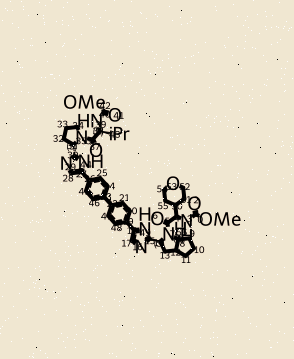 COC(=O)NC(C(=O)N1[C@@H]2CCCC2C[C@H]1c1ncc(-c2ccc(-c3ccc(-c4cnc([C@@H]5CCCN5C(=O)[C@@H](NC(=O)OC)C(C)C)[nH]4)cc3)cc2)[nH]1)C1CCOCC1